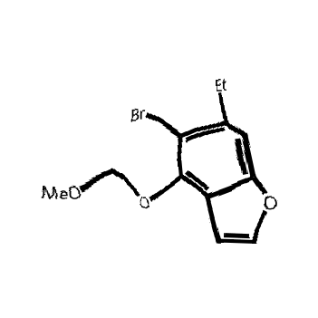 CCc1cc2occc2c(OCOC)c1Br